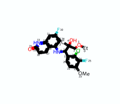 CCOCC(O)(C(Nc1cc(F)cc2[nH]c(=O)ccc12)c1ccc(OC)c(F)c1Cl)C(F)(F)F